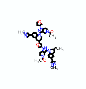 CC[C@H]1Cc2cc(-c3cnn(C)c3)ccc2N(c2nn([C@@H]3COC(C4CCN(c5nn([C@H]6CCOC6)c6c5CN(C(C)=O)CC6)c5ccc(-c6cnn(C)c6)cc5C4)C3)c3c2CN(C(C)=O)CC3)C1